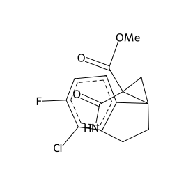 COC(=O)C12CC1(c1ccc(F)c(Cl)c1)CCNC2=O